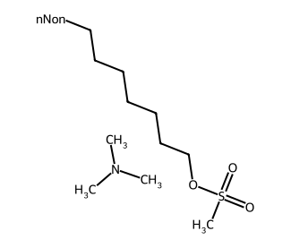 CCCCCCCCCCCCCCCCOS(C)(=O)=O.CN(C)C